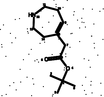 CC(C)(C)OC(=O)CC1=CCCNCC1